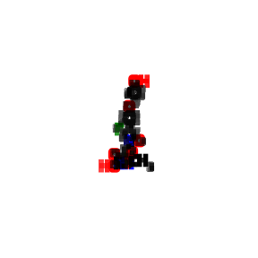 CS(=O)(=O)[C@H](CCn1cc(F)c(-c2ccc(OC[C@H]3CC[C@H](O)CC3)cc2)cc1=O)C(=O)NO